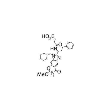 COC(=O)N(C)C(=O)c1ccc2c(c1)nc(C(CCc1ccccc1)NC(=O)CCC(=O)O)n2CC1CCCCC1